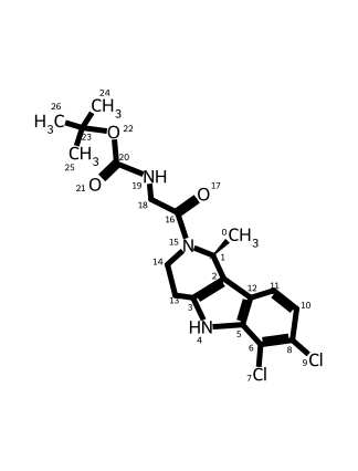 C[C@H]1c2c([nH]c3c(Cl)c(Cl)ccc23)CCN1C(=O)CNC(=O)OC(C)(C)C